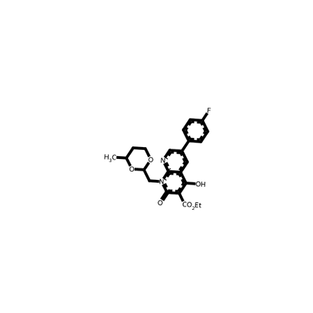 CCOC(=O)c1c(O)c2cc(-c3ccc(F)cc3)cnc2n(CC2OCCC(C)O2)c1=O